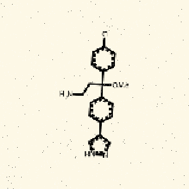 COC(CCN)(c1ccc(Cl)cc1)c1ccc(-c2cn[nH]c2)cc1